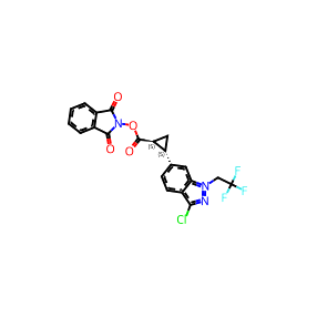 O=C(ON1C(=O)c2ccccc2C1=O)[C@H]1C[C@@H]1c1ccc2c(Cl)nn(CC(F)(F)F)c2c1